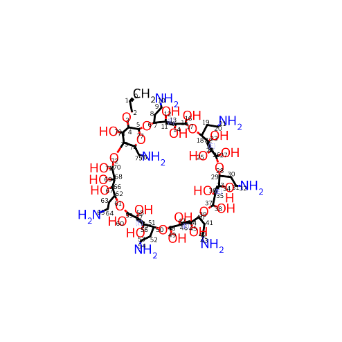 C=CCOC1C2OC(CCN)/C(O)=C(\O)C(O)OC(CCN)/C(O)=C(\O)C(O)OC(CCN)/C(O)=C(\O)C(O)OC(CCN)/C(O)=C(\O)C(O)OC(CCN)/C(O)=C(\O)C(O)OC(CCN)C(O)C(O)C(O)OC(C(CN)O2)C1O